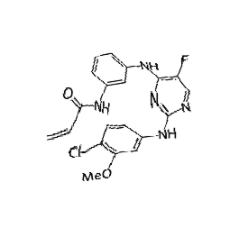 C=CC(=O)Nc1cccc(Nc2nc(Nc3ccc(Cl)c(OC)c3)ncc2F)c1